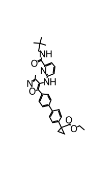 CCOC(=O)C1(c2ccc(-c3ccc(-c4onc(C)c4Nc4cccc(C(=O)NCC(C)(C)C)n4)cc3)cc2)CC1